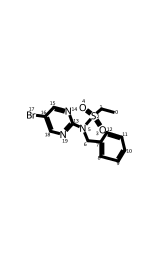 CCS(=O)(=O)N(Cc1ccccc1)c1ncc(Br)cn1